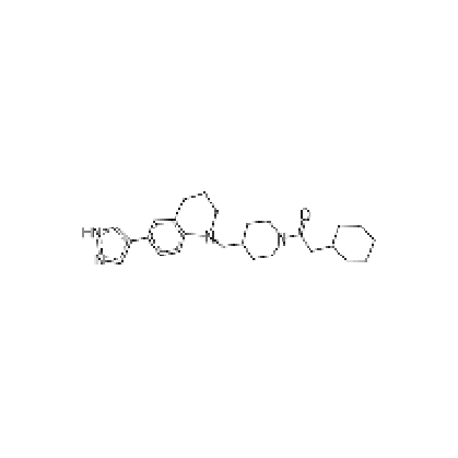 O=C(CC1CCCCC1)N1CCC(CN2CCCc3cc(-c4cn[nH]c4)ccc32)CC1